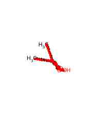 CCCCCCCCCCCCCCCCN(CCCCCCCCCCCCCCCC)c1ccc(C=Cc2ccc(S(=O)(=O)CCCO)cc2)cc1